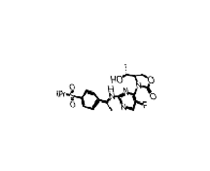 CC(C)S(=O)(=O)c1ccc([C@H](C)Nc2ncc(F)c(N3C(=O)OC[C@@H]3[C@@H](C)O)n2)cc1